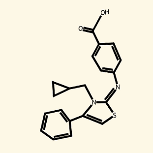 O=C(O)c1ccc(N=c2scc(-c3ccccc3)n2CC2CC2)cc1